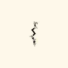 CCCOCCN=[N+]=[N-]